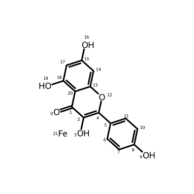 O=c1c(O)c(-c2ccc(O)cc2)oc2cc(O)cc(O)c12.[Fe]